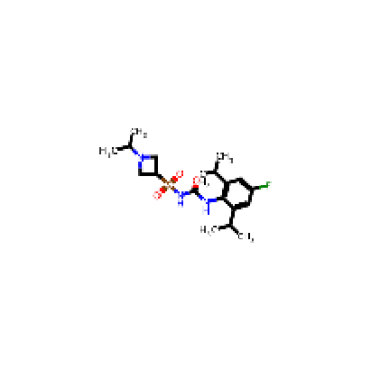 CC(C)c1cc(F)cc(C(C)C)c1NC(=O)NS(=O)(=O)C1CN(C(C)C)C1